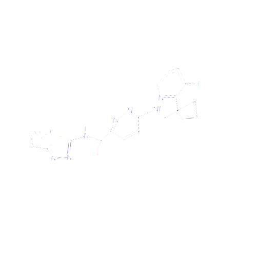 CCOC(=O)Cc1nnc(NC(O)c2ccc(NCC3(c4ncccc4F)CCC3)nn2)s1